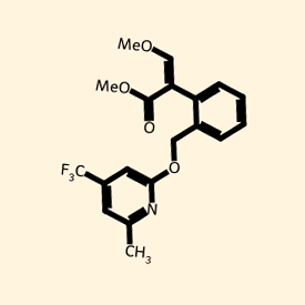 COC=C(C(=O)OC)c1ccccc1COc1cc(C(F)(F)F)cc(C)n1